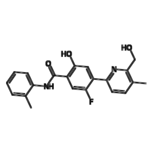 Cc1ccccc1NC(=O)c1cc(F)c(-c2ccc(C)c(CO)n2)cc1O